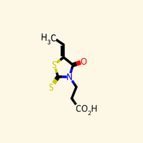 C/C=C1\SC(=S)N(CCC(=O)O)C1=O